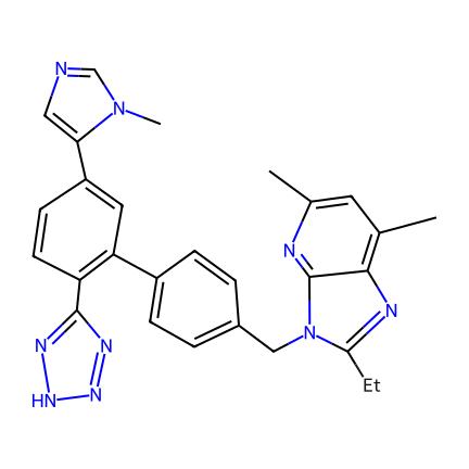 CCc1nc2c(C)cc(C)nc2n1Cc1ccc(-c2cc(-c3cncn3C)ccc2-c2nn[nH]n2)cc1